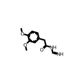 COc1ccc(CC(=O)NC=N)cc1OC